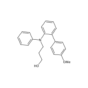 COc1ccc(-c2ccccc2N(CCCO)c2ccccc2)cc1